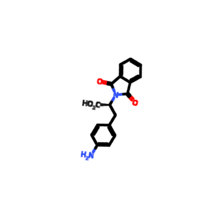 Nc1ccc(C[C@@H](C(=O)O)N2C(=O)c3ccccc3C2=O)cc1